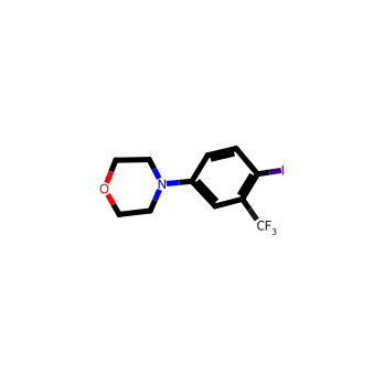 FC(F)(F)c1cc(N2CCOCC2)ccc1I